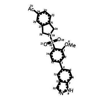 COc1cc(-c2ccc3[nH]ncc3c2)ccc1S(=O)(=O)N1Cc2ccc(C(C)=O)cc2C1